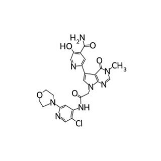 Cn1cnc2c(c(-c3cc(C(N)=O)c(O)cn3)cn2CC(=O)Nc2cc(N3CCOCC3)ncc2Cl)c1=O